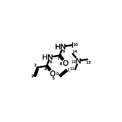 C=C.C=CC(=O)NC(=O)NI.CN(C)C